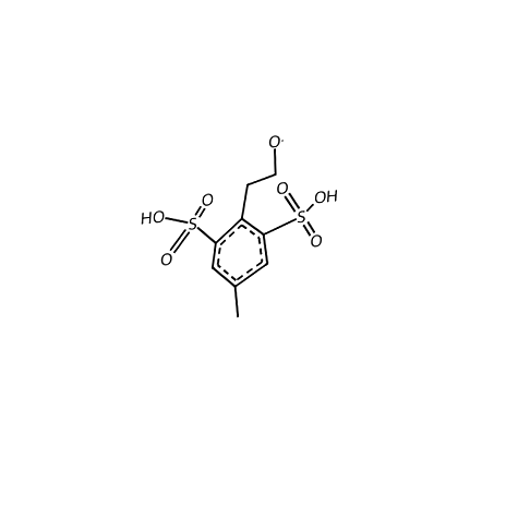 Cc1cc(S(=O)(=O)O)c(CC[O])c(S(=O)(=O)O)c1